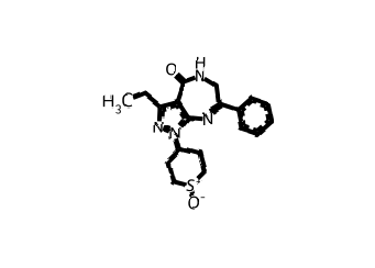 CCc1nn(C2CC[S+]([O-])CC2)c2c1C(=O)NCC(c1ccccc1)=N2